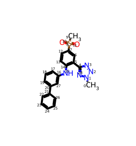 Cn1nnc(-c2cc(S(C)(=O)=O)ccc2Nc2cccc(-c3ccccc3)c2)n1